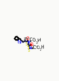 CC(C)C(/C=C1\Cc2ccccc2N1C)=c1/s/c(=C2\SC(=S)N(CC(=O)O)C2=O)n(CC(=O)O)c1=O